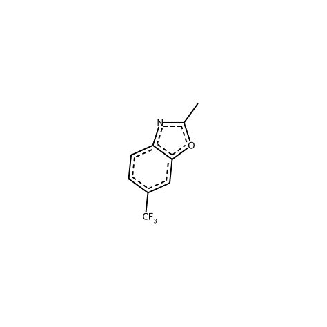 Cc1nc2ccc(C(F)(F)F)cc2o1